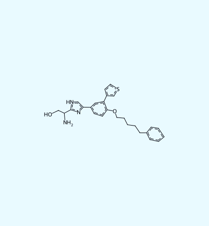 NC(CO)c1nc(-c2ccc(OCCCCCc3ccccc3)c(-c3ccsc3)c2)c[nH]1